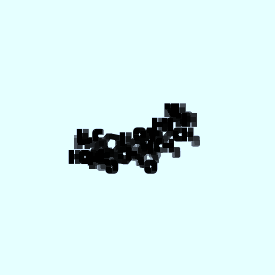 CC(=O)O[C@@H]1C[C@]23COC[C@@](C)([C@@H]2CC[C@H]2C3=CC(=O)[C@@]3(C)[C@H](C(=O)O)[C@@](C)([C@H](C)C(C)C)CC[C@]23C)[C@H]1OCC(C)NC(=N)N